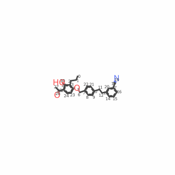 CCCc1c(OCc2ccc(CCc3cccc(C#N)c3)cc2)ccc(C(C)=O)c1O